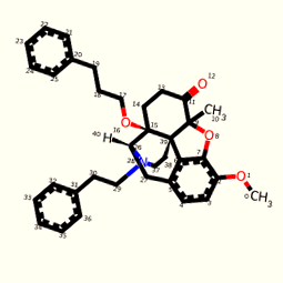 COc1ccc2c3c1OC1(C)C(=O)CC[C@@]4(OCCCc5ccccc5)[C@@H](C2)N(CCc2ccccc2)CC[C@]314